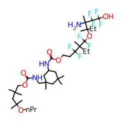 CCCOC(C)(C)CC(C)(C)COC(=O)NCC1(C)CC(NC(=O)OCCC(F)(F)C(C)(CC)C(F)(F)OC(C)(CC)C(C)(N)C(F)(F)C(O)(F)F)CC(C)(C)C1